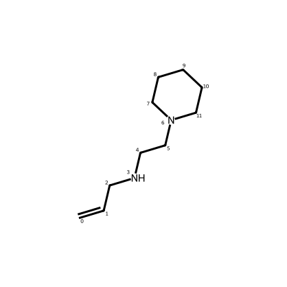 C=CCNCCN1CCCCC1